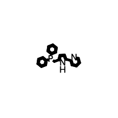 c1ccc(P(Cc2ccc(-c3ccccn3)[nH]2)c2ccccc2)cc1